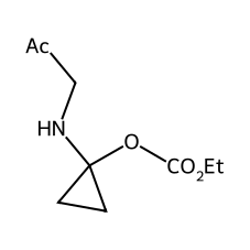 CCOC(=O)OC1(NCC(C)=O)CC1